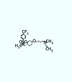 C=CCN(C)CCCCO[C@H]1CC[C@H](CN(C)S(=O)(=O)c2ccc(C(F)(F)F)cc2)CC1